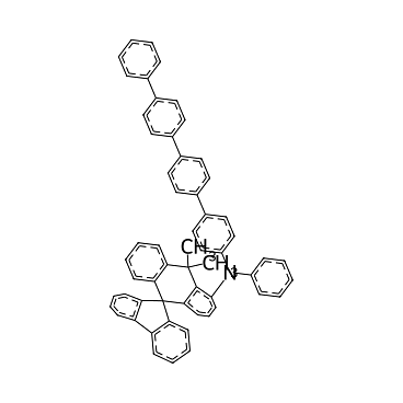 CC1(C)c2ccccc2C2(c3ccccc3-c3ccccc32)c2cccc(N(c3ccccc3)c3ccc(-c4ccc(-c5ccc(-c6ccccc6)cc5)cc4)cc3)c21